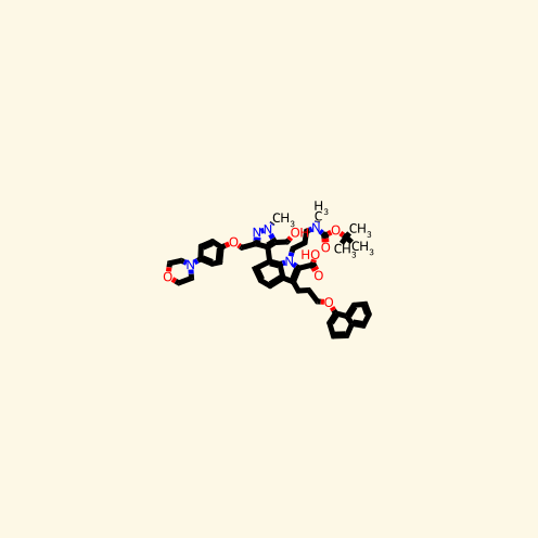 CN(CCCn1c(C(=O)O)c(CCCOc2cccc3ccccc23)c2cccc(-c3c(COc4ccc(N5CCOCC5)cc4)nn(C)c3CO)c21)C(=O)OC(C)(C)C